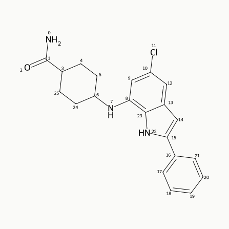 NC(=O)C1CCC(Nc2cc(Cl)cc3cc(-c4ccccc4)[nH]c23)CC1